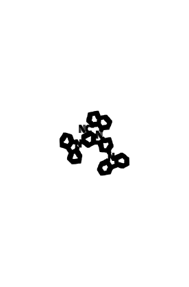 N#Cc1cccc2cccc(-n3c4ccc(-n5c6ccccc6c6ccccc65)cc4c4cc(-n5c6ccccc6c6ccccc65)ccc43)c12